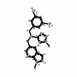 Cn1nnc(N(Cc2[c]nc3c(cnn3C)c2)Cc2cc(C(F)(F)F)cc(C(F)(F)F)c2)n1